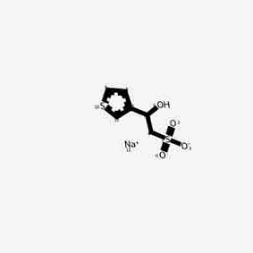 O=S(=O)([O-])CC(O)c1ccsc1.[Na+]